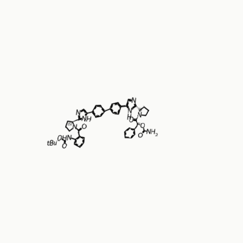 CC(C)(C)OC(=O)Nc1ccccc1C(=O)N1CCC[C@H]1c1ncc(-c2ccc(-c3ccc(-c4cnc([C@@H]5CCCN5C(=O)[C@H](OC(N)=O)c5ccccc5)[nH]4)cc3)cc2)[nH]1